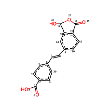 O=C(O)c1ccc(C=Cc2ccc3c(c2)C(O)OC3=O)cc1